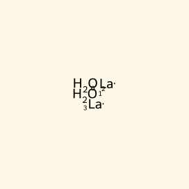 O.O.[La].[La]